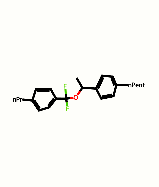 CCCCCc1ccc(C(C)OC(F)(F)c2ccc(CCC)cc2)cc1